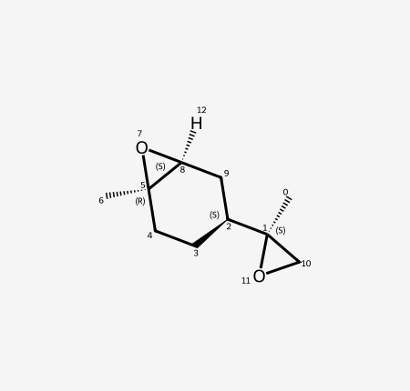 C[C@]1([C@H]2CC[C@@]3(C)O[C@H]3C2)CO1